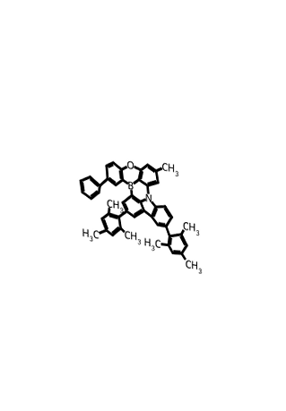 Cc1cc(C)c(-c2ccc3c(c2)c2cc(-c4c(C)cc(C)cc4C)cc4c2n3-c2cc(C)cc3c2B4c2cc(-c4ccccc4)ccc2O3)c(C)c1